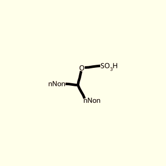 CCCCCCCCCC(CCCCCCCCC)OS(=O)(=O)O